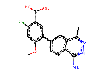 COc1cc(Cl)c(B(O)O)cc1-c1ccc2c(N)nnc(C)c2c1